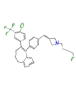 FCCCN1CC(=Cc2ccc(C3=C(c4ccc(Cl)c(C(F)(F)F)c4)CCCc4ccccc43)cc2)C1